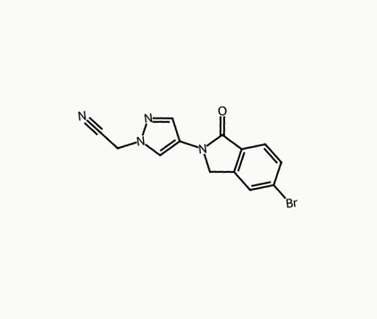 N#CCn1cc(N2Cc3cc(Br)ccc3C2=O)cn1